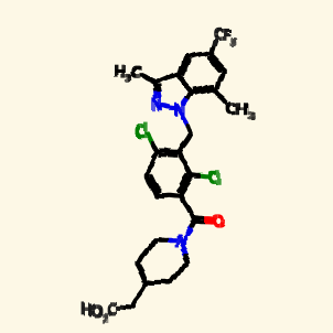 Cc1nn(Cc2c(Cl)ccc(C(=O)N3CCC(CC(=O)O)CC3)c2Cl)c2c(C)cc(C(F)(F)F)cc12